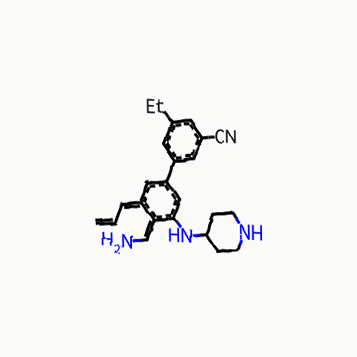 C=C/C=c1/cc(-c2cc(C#N)cc(CC)c2)cc(NC2CCNCC2)/c1=C/N